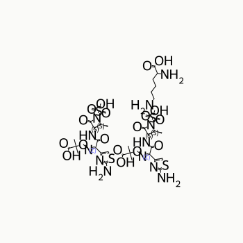 C[C@H]1[C@H](NC(=O)/C(=N\OC(C)(C)C(=O)O)c2csc(N)n2)C(=O)N1S(=O)(=O)O.C[C@H]1[C@H](NC(=O)/C(=N\OC(C)(C)C(=O)O)c2csc(N)n2)C(=O)N1S(=O)(=O)O.NCCCCC(N)C(=O)O